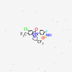 CS(=N)(=O)c1cc(NC(=O)c2cc(Cl)c(C(F)(F)F)cc2N2CCC(C(F)(F)F)CC2)ccc1F